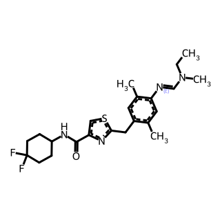 CCN(C)/C=N/c1cc(C)c(Cc2nc(C(=O)NC3CCC(F)(F)CC3)cs2)cc1C